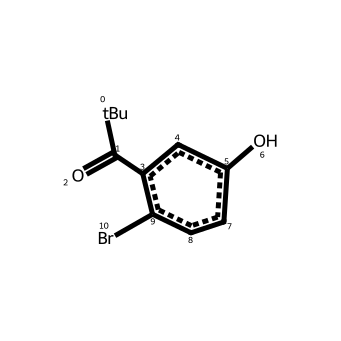 CC(C)(C)C(=O)c1cc(O)ccc1Br